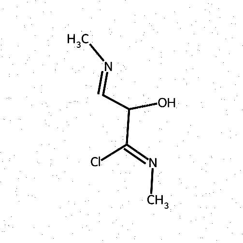 CN=CC(O)C(Cl)=NC